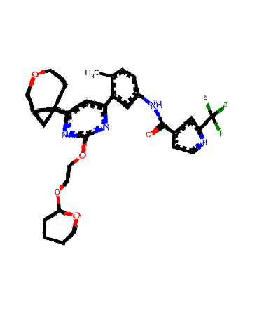 Cc1ccc(NC(=O)c2ccnc(C(F)(F)F)c2)cc1-c1cc(C23CCOCC2C3)nc(OCCOC2CCCCO2)n1